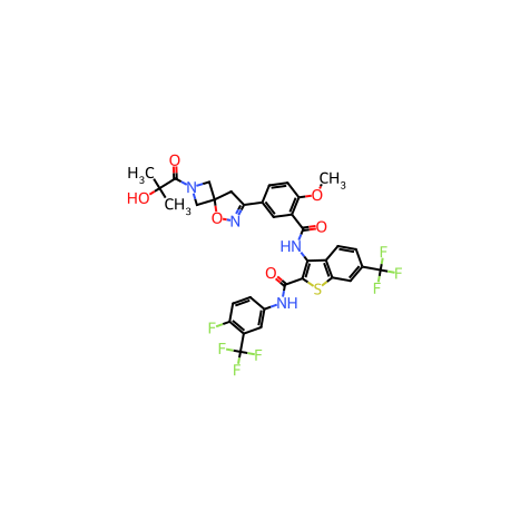 COc1ccc(C2=NOC3(C2)CN(C(=O)C(C)(C)O)C3)cc1C(=O)Nc1c(C(=O)Nc2ccc(F)c(C(F)(F)F)c2)sc2cc(C(F)(F)F)ccc12